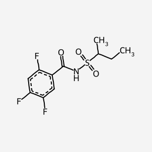 CCC(C)S(=O)(=O)NC(=O)c1cc(F)c(F)cc1F